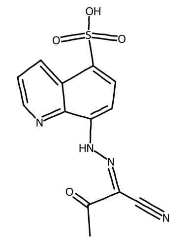 CC(=O)C(C#N)=NNc1ccc(S(=O)(=O)O)c2cccnc12